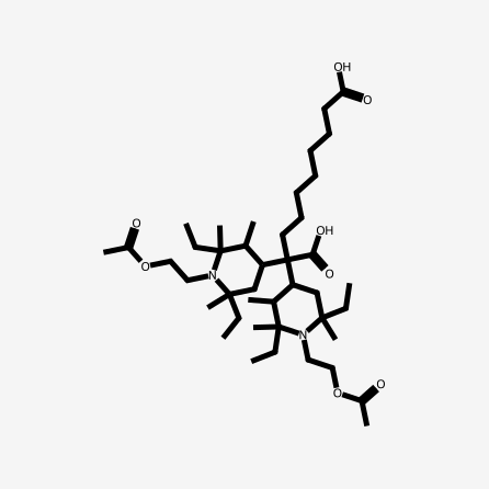 CCC1(C)CC(C(CCCCCCCC(=O)O)(C(=O)O)C2CC(C)(CC)N(CCOC(C)=O)C(C)(CC)C2C)C(C)C(C)(CC)N1CCOC(C)=O